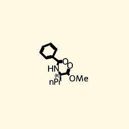 CCC[C@@H](NC(=O)c1ccccc1)C(=O)OC